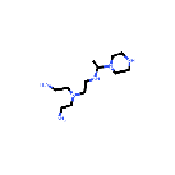 CC(NCCN(CCN)CCN)N1CCNCC1